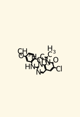 COc1ccc(C)c(Nc2ncc3cc(Cl)c(=O)n(C(C)C)c3n2)c1